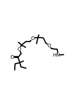 CCC(C)(CC)C(=O)COC(C)(C)CCOC(C)(C)CCOCCNC